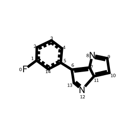 Fc1cccc(C2=C3N=CC=C3N=C2)c1